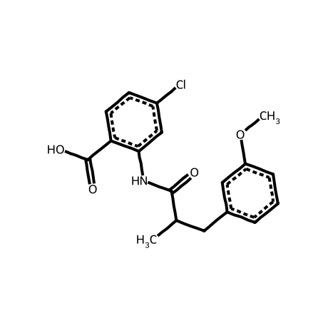 COc1cccc(CC(C)C(=O)Nc2cc(Cl)ccc2C(=O)O)c1